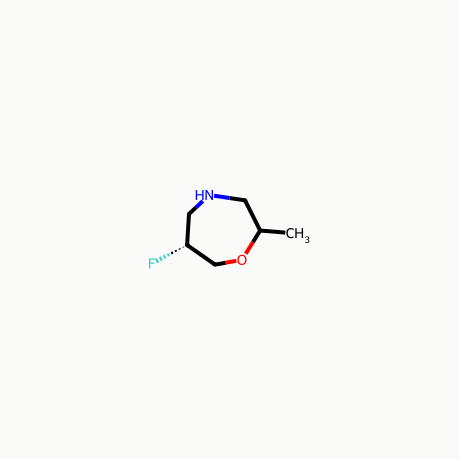 CC1CNC[C@@H](F)CO1